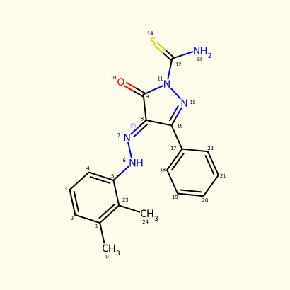 Cc1cccc(N/N=C2/C(=O)N(C(N)=S)N=C2c2ccccc2)c1C